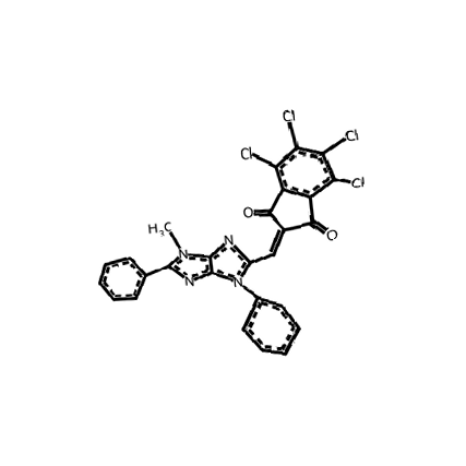 Cn1c(-c2ccccc2)nc2c1nc(C=C1C(=O)c3c(Cl)c(Cl)c(Cl)c(Cl)c3C1=O)n2-c1ccccc1